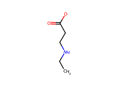 CCNCCC([O])=O